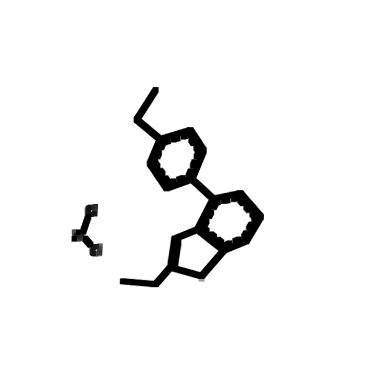 CCC1=Cc2c(cccc2-c2ccc(CC)cc2)[CH]1.[Cl][Zr][Cl]